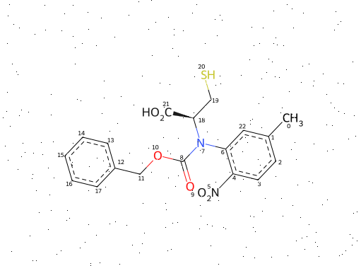 Cc1ccc([N+](=O)[O-])c(N(C(=O)OCc2ccccc2)[C@H](CS)C(=O)O)c1